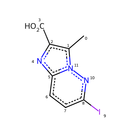 Cc1c(C(=O)O)nc2ccc(I)nn12